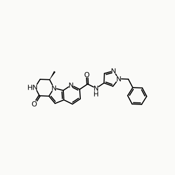 C[C@@H]1CNC(=O)c2cc3ccc(C(=O)Nc4cnn(Cc5ccccc5)c4)nc3n21